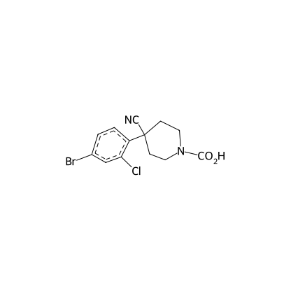 N#CC1(c2ccc(Br)cc2Cl)CCN(C(=O)O)CC1